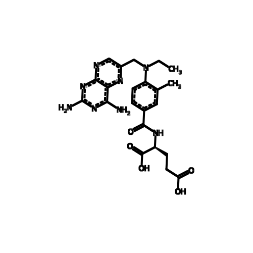 CCN(Cc1cnc2nc(N)nc(N)c2n1)c1ccc(C(=O)N[C@@H](CCC(=O)O)C(=O)O)cc1C